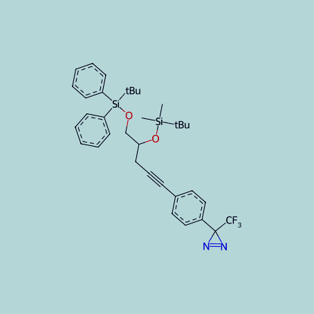 CC(C)(C)[Si](C)(C)OC(CC#Cc1ccc(C2(C(F)(F)F)N=N2)cc1)CO[Si](c1ccccc1)(c1ccccc1)C(C)(C)C